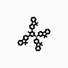 Cc1c(-c2ccc3c(c2)C(C)(C)c2ccccc2-3)cc(N(c2ccc3c(c2)C(C)(C)c2ccccc2-3)c2ccc3c(c2)C(C)(C)c2ccccc2-3)cc1-c1ccc2c(c1)C(C)(C)c1ccccc1-2